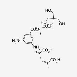 C=C(C)C(=O)O.C=C(C)C(=O)O.C=C(C)C(=O)O.Nc1cc(N)cc(C(=O)O)c1.OCC(CO)(CO)CO